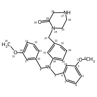 COc1cccc(CN(Cc2cccc(OC)c2)c2cccc(CN3CCNCC3=O)c2)c1